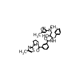 Cc1csc([C@H]2CCCN2C(=O)c2cccc(C(=O)N[C@@H](Cc3ccccc3)[C@H](O)CN(C)c3cc(C)on3)c2)n1